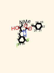 CNC[C@H](O)[C@H](Cc1cc(F)cc(F)c1)NC(=O)OCc1ccccc1